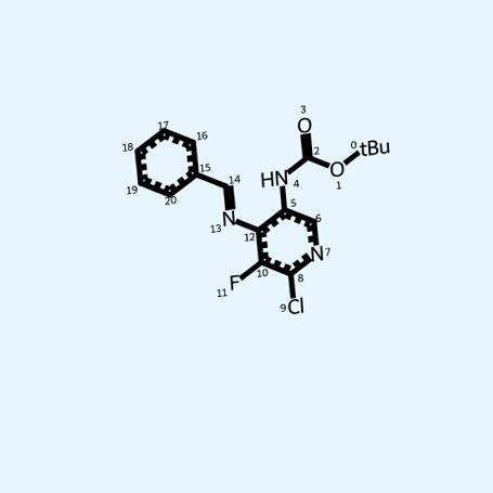 CC(C)(C)OC(=O)Nc1cnc(Cl)c(F)c1N=Cc1ccccc1